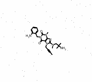 CC#CCn1c(N(C)CC(C)(C)N)nc2c1c(=O)n(Cc1ccccc1N)c(=O)n2C